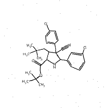 CC(C)(C)CC1C(C(=O)OC(C)(C)C)NC(c2cccc(Cl)c2)C1(C#N)c1ccc(Cl)cc1